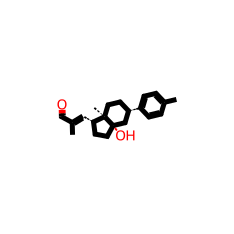 C/C(C=O)=C\[C@H]1CC[C@]2(O)C[C@@H](c3ccc(C)cc3)CC[C@]12C